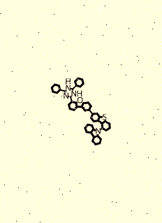 c1ccc(C2=NC(c3cccc4c3oc3ccc(-c5ccc6c(c5)sc5cccc(-n7c8ccccc8c8ccccc87)c56)cc34)NC(c3ccccc3)N2)cc1